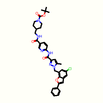 Cc1cc(C(=O)Nc2ccc(C(=O)NCC3CCN(C(=O)OC(C)(C)C)CC3)cn2)nn1Cc1cc(Cl)cc2cc(-c3ccccc3)oc12